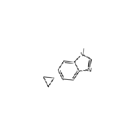 C1CC1.c1ccc2[nH]cnc2c1